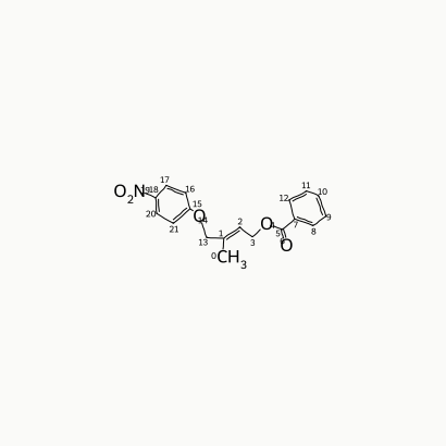 C/C(=C\COC(=O)c1ccccc1)COc1ccc([N+](=O)[O-])cc1